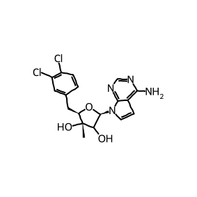 C[C@]1(O)C(O)[C@H](n2ccc3c(N)ncnc32)O[C@@H]1Cc1ccc(Cl)c(Cl)c1